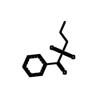 CCCS(=O)(=O)C(=O)c1ccccc1